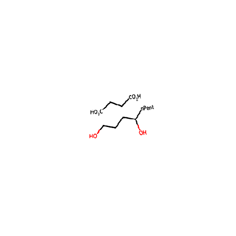 CCCCCC(O)CCCO.O=C(O)CCC(=O)O